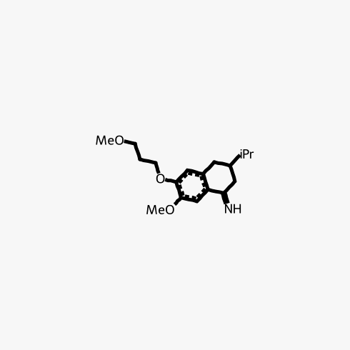 COCCCOc1cc2c(cc1OC)C(=N)CC(C(C)C)C2